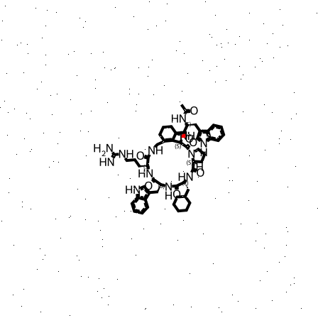 CC(=O)N[C@@H](Cc1c[nH]c2ccccc12)C(=O)C12CCCC3=C1[C@H](N2)C(=O)N1CCC[C@H]1C(=O)N[C@H](CC1CCCCC1)C(=O)N[C@@H](Cc1c[nH]c2ccccc12)C(=O)N[C@@H](CCCNC(=N)N)C(=O)NC3